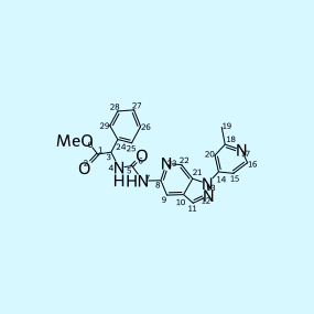 COC(=O)C(NC(=O)Nc1cc2cnn(-c3ccnc(C)c3)c2cn1)c1ccccc1